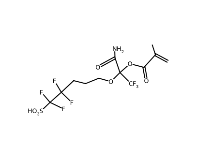 C=C(C)C(=O)OC(OCCCC(F)(F)C(F)(F)S(=O)(=O)O)(C(N)=O)C(F)(F)F